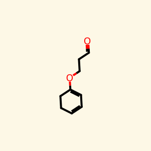 O=CCCOC1=CC=CCC1